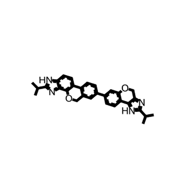 CC(C)c1nc2c([nH]1)-c1ccc(-c3ccc4c(c3)COc3c-4ccc4[nH]c(C(C)C)nc34)cc1OC2